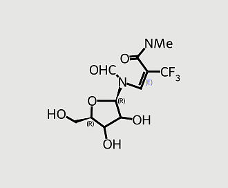 CNC(=O)/C(=C\N(C=O)[C@@H]1O[C@H](CO)C(O)C1O)C(F)(F)F